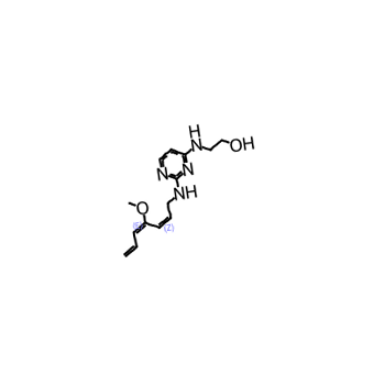 C=C/C=C(\C=C/CNc1nccc(NCCO)n1)OC